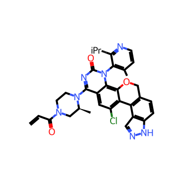 C=CC(=O)N1CCN(c2nc(=O)n(-c3c(C)ccnc3C(C)C)c3c4c(c(Cl)cc23)-c2c(ccc3[nH]ncc23)CO4)[C@@H](C)C1